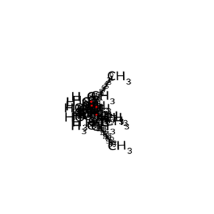 CCCCCCCCCCCCC(CC(CC(C)C(C)(C)C)C(=O)CCC(O)(CCC(=O)C(CC(C)C(C)(C)C)CC(CCCCCCCCCCCC)C(C)(C)C)C(CO)(CO)CO)C(C)(C)C.OP(O)OP(O)O